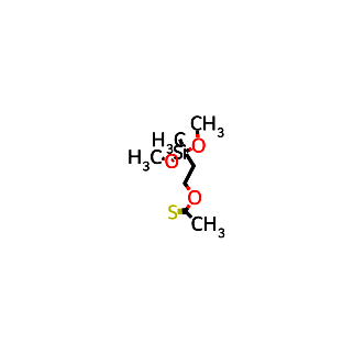 CO[Si](C)(CCOC(C)=S)OC